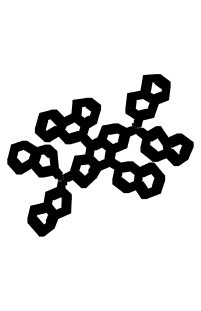 C1=Cc2cc(N(c3ccc4ccccc4c3)c3ccc4c(-c5ccc6ccccc6c5)c5cc(N(c6ccc7ccccc7c6)c6ccc7ccccc7c6)ccc5c(-c5cc6ccccc6c6ccccc56)c4c3)ccc2CC1